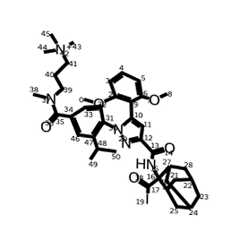 COc1cccc(OC)c1-c1cc(C(=O)NC2(C(=O)I)C3CC4CC(C3)CC2C4)nn1-c1ccc(C(=O)N(C)CCC[N+](C)(C)C)cc1C(C)C